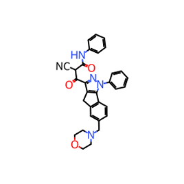 N#CC(C(=O)Nc1ccccc1)C(=O)c1nn(-c2ccccc2)c2c1Cc1cc(CN3CCOCC3)ccc1-2